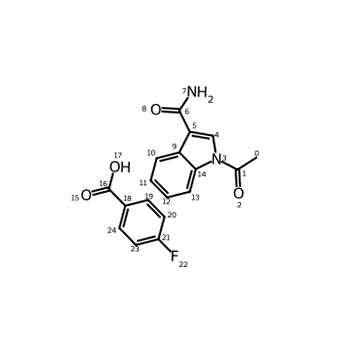 CC(=O)n1cc(C(N)=O)c2ccccc21.O=C(O)c1ccc(F)cc1